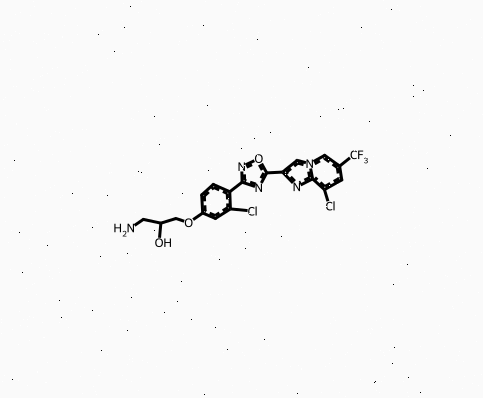 NCC(O)COc1ccc(-c2noc(-c3cn4cc(C(F)(F)F)cc(Cl)c4n3)n2)c(Cl)c1